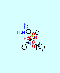 CC(C)(C)OC(=O)N[C@@H](Cc1ccccc1)[C@H](O)CN(OC1CCCC1)S(=O)(=O)c1ccc(N)c(N)c1